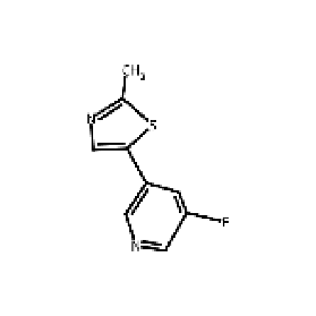 Cc1ncc(-c2cncc(F)c2)s1